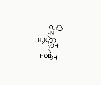 NC(CCCCB(O)O)(C(=O)O)C1CCN(C(=O)c2ccccc2)CC1